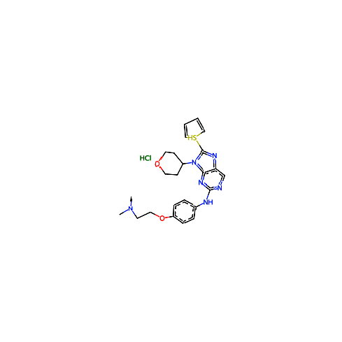 CN(C)CCOc1ccc(Nc2ncc3nc([SH]4C=CC=C4)n(C4CCOCC4)c3n2)cc1.Cl